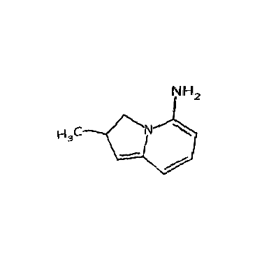 CC1C=C2C=CC=C(N)N2C1